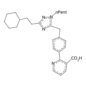 CCCCCn1nc(CCC2CCCCC2)nc1Cc1ccc(-c2ncccc2C(=O)O)cc1